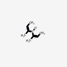 C/C=C(/C)[S+]([O-])/C(C)=C\C